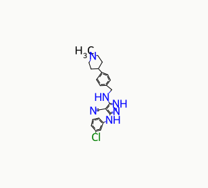 CN1CCC(c2ccc(CNc3[nH]nc(Nc4cccc(Cl)c4)c3C#N)cc2)CC1